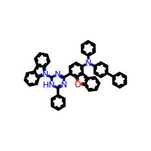 c1ccc(C2=NC(c3ccc(N(c4ccccc4)c4ccc(-c5ccccc5)cc4)c4c3oc3ccccc34)=NC(n3c4ccccc4c4ccccc43)N2)cc1